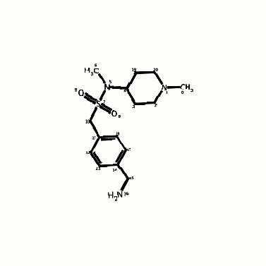 CN1CCC(N(C)S(=O)(=O)Cc2ccc(CN)cc2)CC1